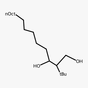 CCCCCCCCCCCCCC(O)C(CO)C(C)(C)C